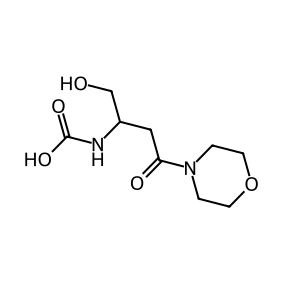 O=C(O)NC(CO)CC(=O)N1CCOCC1